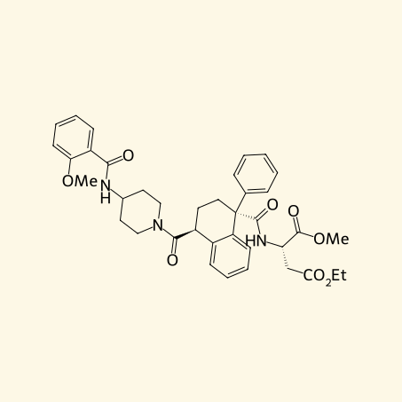 CCOC(=O)C[C@H](NC(=O)[C@@]1(c2ccccc2)CC[C@H](C(=O)N2CCC(NC(=O)c3ccccc3OC)CC2)c2ccccc21)C(=O)OC